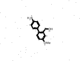 COc1ccc(-c2ccc(N)cc2)c(CO)c1